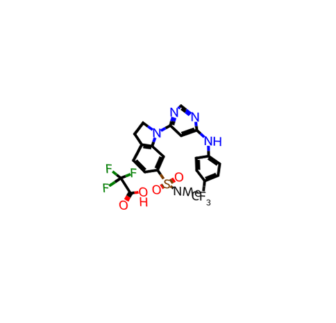 CNS(=O)(=O)c1ccc2c(c1)N(c1cc(Nc3ccc(C(F)(F)F)cc3)ncn1)CC2.O=C(O)C(F)(F)F